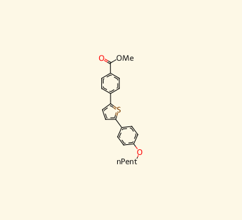 CCCCCOc1ccc(-c2ccc(-c3ccc(C(=O)OC)cc3)s2)cc1